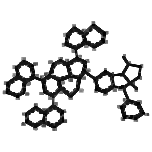 CC1CCC2(C)C1c1cc(-c3cc(-c4cccc5ccccc45)c4ccc5c(-c6cccc7ccccc67)cc(-c6cccc7ccccc67)c6ccc3c4c65)ccc1N2c1ccccc1